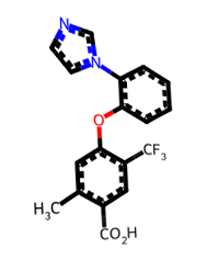 Cc1cc(Oc2ccccc2-n2ccnc2)c(C(F)(F)F)cc1C(=O)O